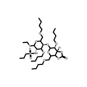 CCCCOCC1OC(O[C@@H]2C(COCCCC)OC(SCC)[C@@H](NS(=O)(=O)CCC)C2OCCCC)[C@@H](OCCCC)[C@@H]2OC(=O)OC12